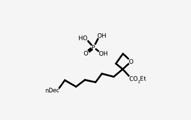 CCCCCCCCCCCCCCCCC1(C(=O)OCC)CCO1.O=P(O)(O)O